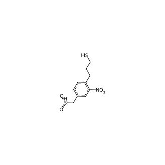 O=[N+]([O-])c1cc(C[SH](=O)=O)ccc1CCCS